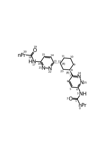 CCCC(=O)Nc1ccc([C@@H]2CCC[C@@H](c3ccc(NC(=O)CCC)nn3)C2)nn1